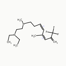 C=C(/C=C(C)\C=C/CCN(C)CCN(CC)CC)C(F)(F)F